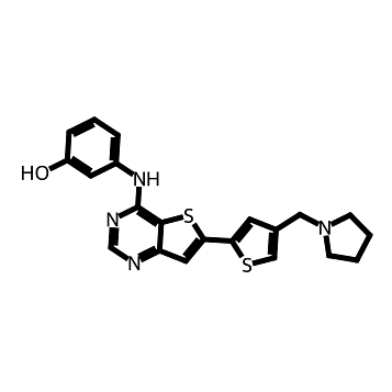 Oc1cccc(Nc2ncnc3cc(-c4cc(CN5CCCC5)cs4)sc23)c1